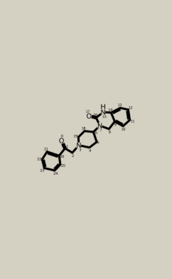 O=C(CN1CCC(N2Cc3ccccc3NC2=O)CC1)c1ccccc1